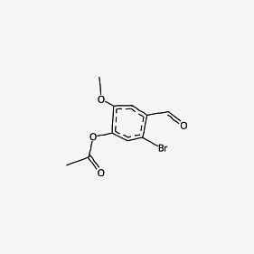 COc1cc(C=O)c(Br)cc1OC(C)=O